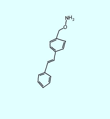 NOCc1ccc(C=Cc2ccccc2)cc1